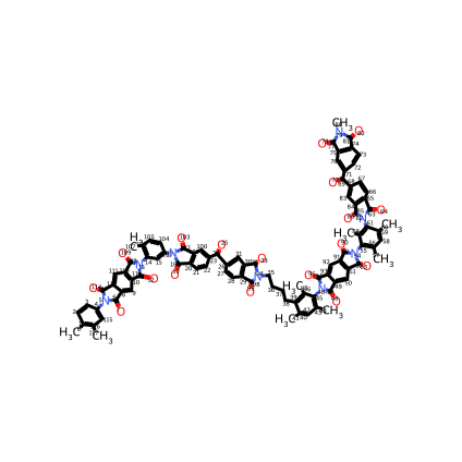 Cc1ccc(-n2c(=O)c3cc4c(=O)n(-c5cc(N6C(=O)c7ccc(C(=O)c8ccc9c(c8)C(=O)N(CCCCc8c(C)cc(C)c(-n%10c(=O)c%11cc%12c(=O)n(-c%13c(C)cc(C)c(N%14C(=O)c%15ccc(C(=O)c%16ccc%17c(c%16)C(=O)N(C)C%17=O)cc%15C%14=O)c%13C)c(=O)c%12cc%11c%10=O)c8C)C9=O)cc7C6=O)ccc5C)c(=O)c4cc3c2=O)cc1C